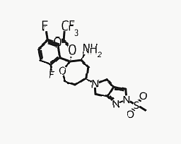 CS(=O)(=O)n1cc2c(n1)CN([C@H]1CCO[C@@](OC(=O)C(F)(F)F)(c3cc(F)ccc3F)[C@@H](N)C1)C2